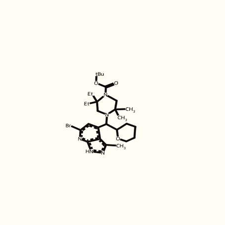 CCC1(CC)CN(C(c2cc(Br)nc3[nH]nc(C)c23)C2CCCCO2)C(C)(C)CN1C(=O)OC(C)(C)C